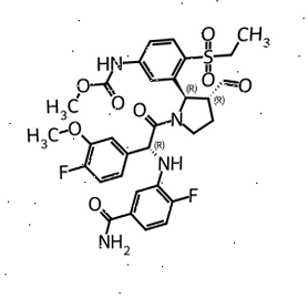 CCS(=O)(=O)c1ccc(NC(=O)OC)cc1[C@H]1[C@H](C=O)CCN1C(=O)[C@H](Nc1cc(C(N)=O)ccc1F)c1ccc(F)c(OC)c1